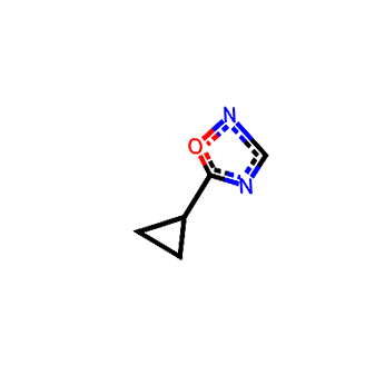 c1noc(C2CC2)n1